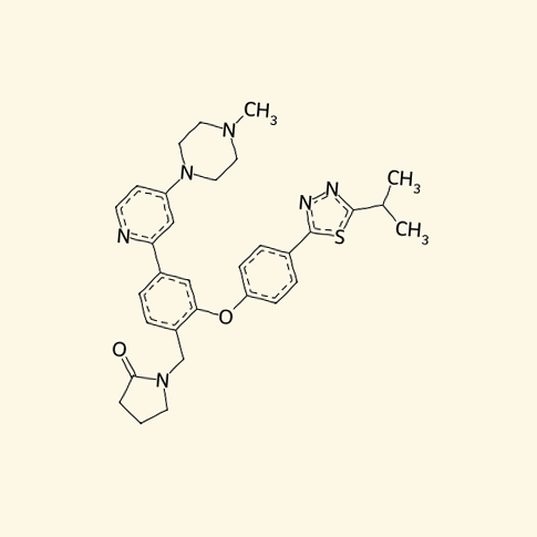 CC(C)c1nnc(-c2ccc(Oc3cc(-c4cc(N5CCN(C)CC5)ccn4)ccc3CN3CCCC3=O)cc2)s1